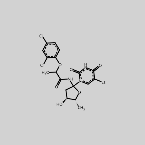 CCc1cn(C2(NC(=O)C(C)Oc3ccc(Cl)cc3Cl)C[C@H](O)[C@@H](C)O2)c(=O)[nH]c1=O